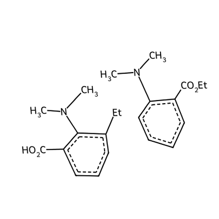 CCOC(=O)c1ccccc1N(C)C.CCc1cccc(C(=O)O)c1N(C)C